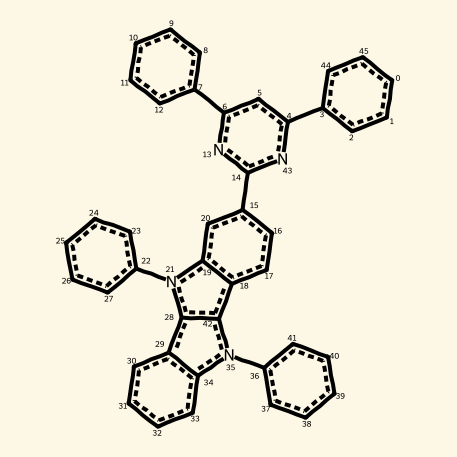 c1ccc(-c2cc(-c3ccccc3)nc(-c3ccc4c(c3)n(-c3ccccc3)c3c5ccccc5n(-c5ccccc5)c43)n2)cc1